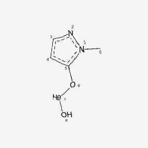 Cn1nccc1OBO